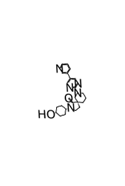 O=C1N([C@H]2CC[C@@H](O)CC2)CC[C@@]12CCCN(c1ncc(-c3cccnc3)cn1)C2